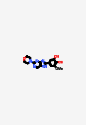 COc1cc(-c2nc3nc(N4CCOCC4)ncc3[nH]2)cc(O)c1O